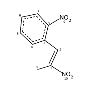 C/C(=C\c1ccccc1[N+](=O)[O-])[N+](=O)[O-]